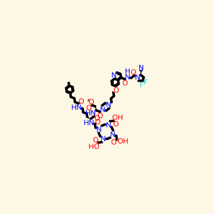 COC(=O)C[C@H](NC(=O)[C@H](CCCCNC(=O)CCCc1ccc(C)cc1)NC(=O)CN1CCN(CC(=O)O)CCN(CC(=O)O)CCN(CC(=O)O)CC1)C(=O)N1CCN(CCCCOc2ccc3nccc(C(=O)NCC(=O)N4CC(F)(F)C[C@@H]4C#N)c3c2)CC1